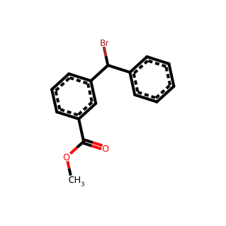 COC(=O)c1cccc(C(Br)c2ccccc2)c1